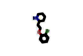 Brc1ccccc1OCCC1CCCCN1